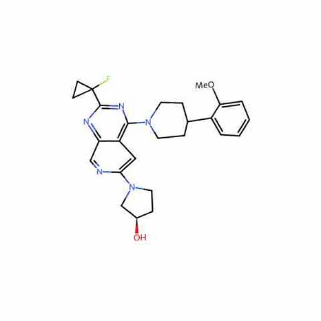 COc1ccccc1C1CCN(c2nc(C3(F)CC3)nc3cnc(N4CC[C@@H](O)C4)cc23)CC1